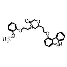 COc1ccccc1OCCN1CC(CCOc2cccc3[nH]c4ccccc4c23)OCC1=O